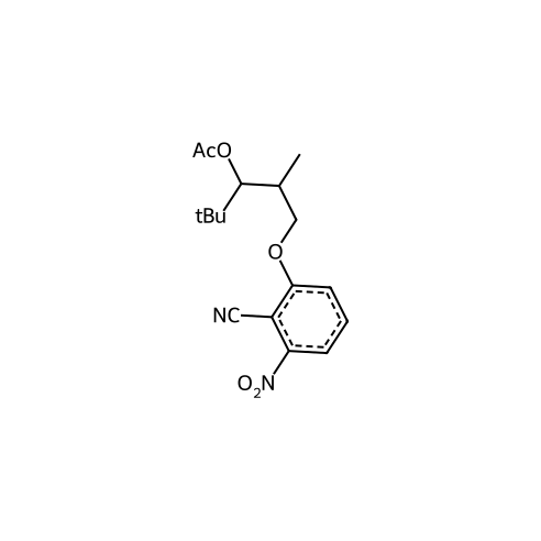 CC(=O)OC(C(C)COc1cccc([N+](=O)[O-])c1C#N)C(C)(C)C